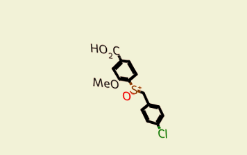 COc1cc(C(=O)O)ccc1[S+]([O-])Cc1ccc(Cl)cc1